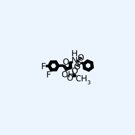 CC(=O)Oc1c(NS(=O)(=O)c2ccccc2)oc(-c2ccc(F)c(F)c2)c1O